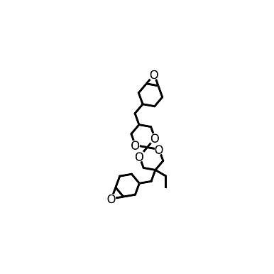 CCC1(CC2CCC3OC3C2)COC2(OCC(CC3CCC4OC4C3)CO2)OC1